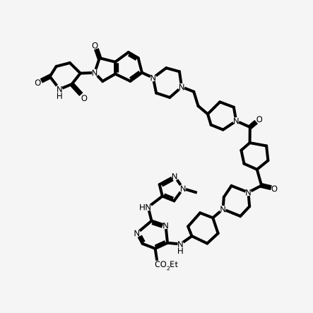 CCOC(=O)c1cnc(Nc2cnn(C)c2)nc1NC1CCC(N2CCN(C(=O)C3CCC(C(=O)N4CCC(CCN5CCN(c6ccc7c(c6)CN(C6CCC(=O)NC6=O)C7=O)CC5)CC4)CC3)CC2)CC1